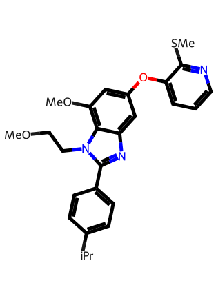 COCCn1c(-c2ccc(C(C)C)cc2)nc2cc(Oc3cccnc3SC)cc(OC)c21